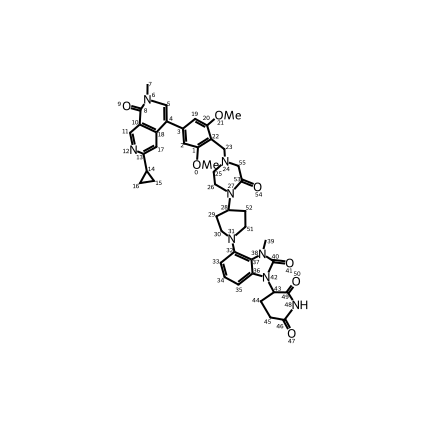 COc1cc(-c2cn(C)c(=O)c3cnc(C4CC4)cc23)cc(OC)c1CN1CCN(C2CCN(c3cccc4c3n(C)c(=O)n4C3CCC(=O)NC3=O)CC2)C(=O)C1